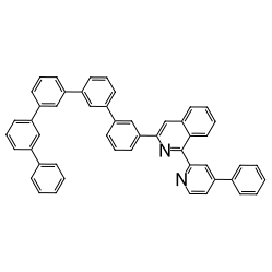 c1ccc(-c2cccc(-c3cccc(-c4cccc(-c5cccc(-c6cc7ccccc7c(-c7cc(-c8ccccc8)ccn7)n6)c5)c4)c3)c2)cc1